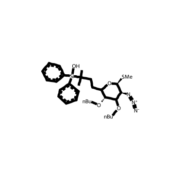 CCCCOC1[C@H](OCCCC)C(CCC(C)(C)[Si](O)(c2ccccc2)c2ccccc2)O[C@@H](SC)[C@H]1N=[N+]=[N-]